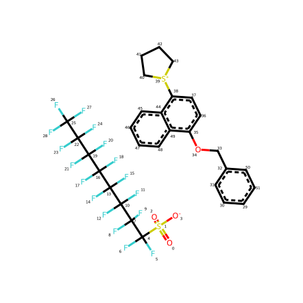 O=S(=O)([O-])C(F)(F)C(F)(F)C(F)(F)C(F)(F)C(F)(F)C(F)(F)C(F)(F)C(F)(F)F.c1ccc(COc2ccc([S+]3CCCC3)c3ccccc23)cc1